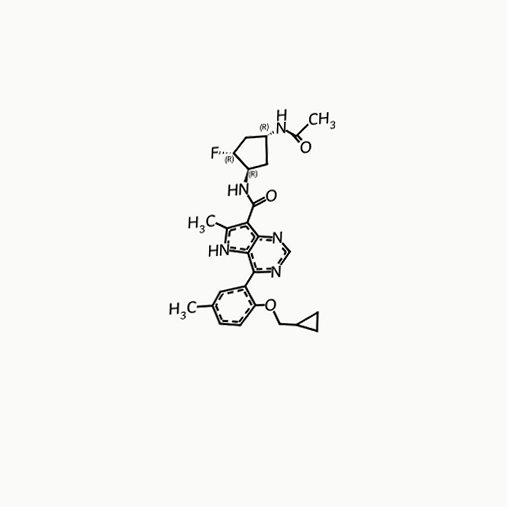 CC(=O)N[C@H]1C[C@@H](F)[C@H](NC(=O)c2c(C)[nH]c3c(-c4cc(C)ccc4OCC4CC4)ncnc23)C1